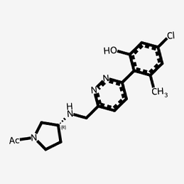 CC(=O)N1CC[C@@H](NCc2ccc(-c3c(C)cc(Cl)cc3O)nn2)C1